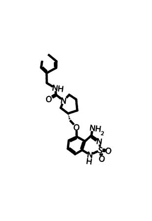 C/C=C\C(=C/C)CNC(=O)N1CCC[C@H](COc2cccc3c2C(N)=NS(=O)(=O)N3)C1